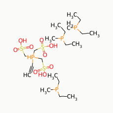 C#C[PH](CS(=O)(=O)O)(CS(=O)(=O)O)CS(=O)(=O)O.CCP(C)CC.CCP(C)CC.CCP(C)CC